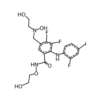 O=C(NOCCO)c1cc(CN(O)CCO)c(F)c(F)c1Nc1ccc(I)cc1F